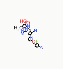 CCn1cncc1Cn1c(Cc2ccc(-c3cccc(OCc4ccc(C#N)cc4F)n3)cc2C#N)nc2c(C(=O)O)cccc21